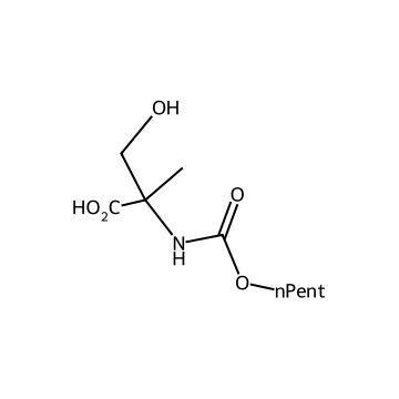 CCCCCOC(=O)NC(C)(CO)C(=O)O